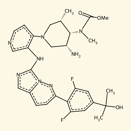 COC(=O)N(C)[C@@H]1[C@H](N)CN(c2ccncc2Nc2ncc3ccc(-c4c(F)cc(C(C)(C)O)cc4F)nn23)C[C@@H]1C